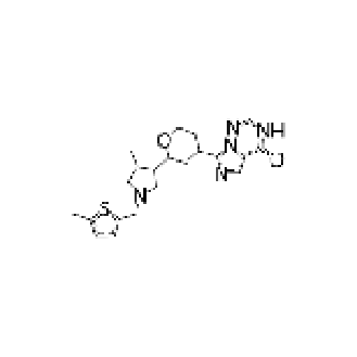 Cc1ccc(CN2CC(C)C(C3CC(c4ncc5c(=O)[nH]cnn45)CCO3)C2)s1